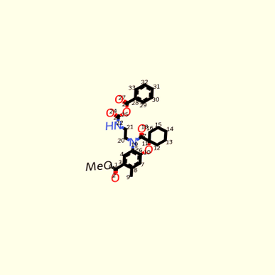 COC(=O)c1cc2c(cc1C)OC1(CCCCC1)C(=O)N2CCNC(=O)OC(=O)c1ccccc1